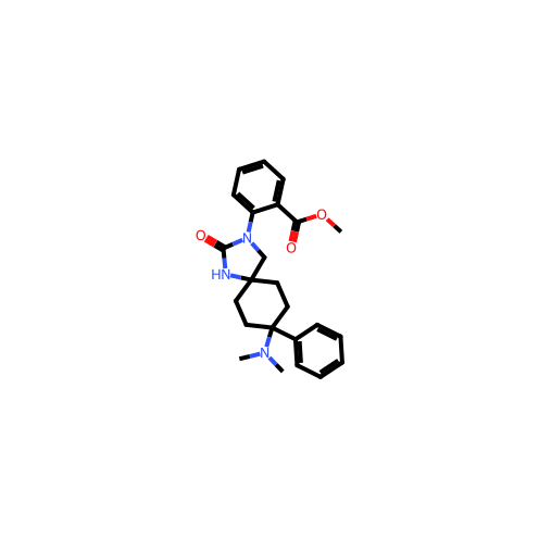 COC(=O)c1ccccc1N1CC2(CCC(c3ccccc3)(N(C)C)CC2)NC1=O